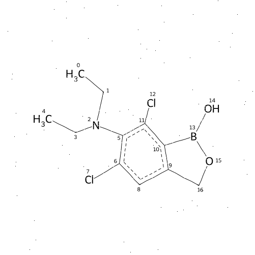 CCN(CC)c1c(Cl)cc2c(c1Cl)B(O)OC2